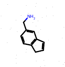 NCc1ccc2c(c1)C=CC2